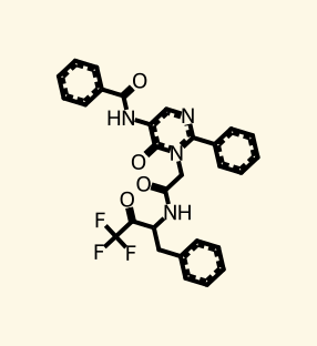 O=C(Cn1c(-c2ccccc2)ncc(NC(=O)c2ccccc2)c1=O)NC(Cc1ccccc1)C(=O)C(F)(F)F